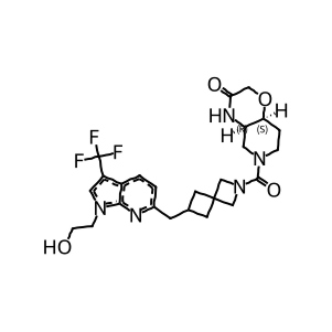 O=C1CO[C@H]2CCN(C(=O)N3CC4(CC(Cc5ccc6c(C(F)(F)F)cn(CCO)c6n5)C4)C3)C[C@H]2N1